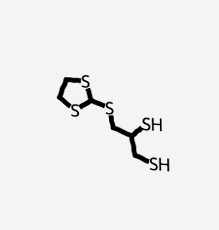 SCC(S)CSC1SCCS1